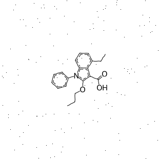 CCCOc1c(C(=O)O)c2c(CC)cccc2n1-c1ccccc1